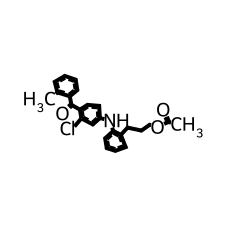 CC(=O)OCCCc1ccccc1Nc1ccc(C(=O)c2ccccc2C)c(Cl)c1